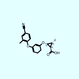 Cc1cc(C#N)ccc1OC1=CCCC(O[C@@H]2[C@H](I)[C@H]2C(=O)O)=C1